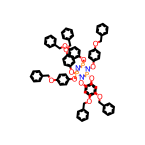 c1ccc(COc2ccc(ON3P(Oc4ccc(OCc5ccccc5)cc4)N=P(Oc4ccc(OCc5ccccc5)cc4)(Oc4ccc(OCc5ccccc5)cc4)N(Oc4ccc(OCc5ccccc5)cc4)P3Oc3ccc(OCc4ccccc4)cc3)cc2)cc1